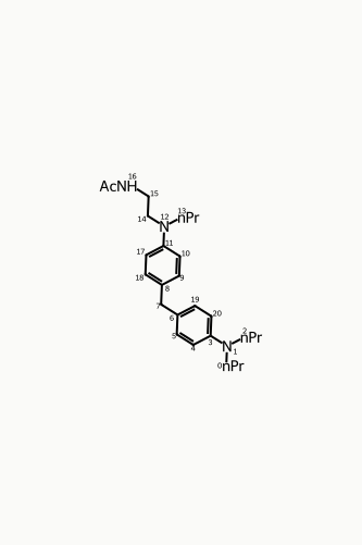 CCCN(CCC)c1ccc(Cc2ccc(N(CCC)CCNC(C)=O)cc2)cc1